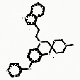 CN1CCC2(CC1)CN(CCc1c[nH]c3ccccc13)c1ccc(Nc3ccncc3)cc1O2